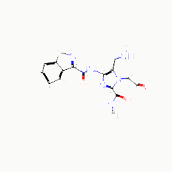 CNCc1c(NC(=O)c2nsc3ccccc23)nc(C(=O)NC)n1CC=O